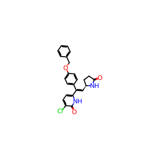 O=C1CC[C@H](/C=C(\c2ccc(OCc3ccccc3)cc2)c2ccc(Cl)c(=O)[nH]2)N1